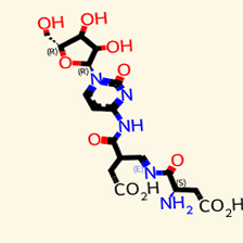 N[C@@H](CC(=O)O)C(=O)/N=C/C(CC(=O)O)C(=O)Nc1ccn([C@@H]2O[C@H](CO)C(O)C2O)c(=O)n1